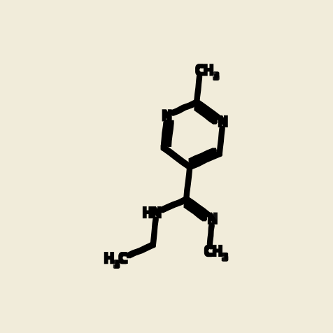 CCN/C(=N\C)c1cnc(C)nc1